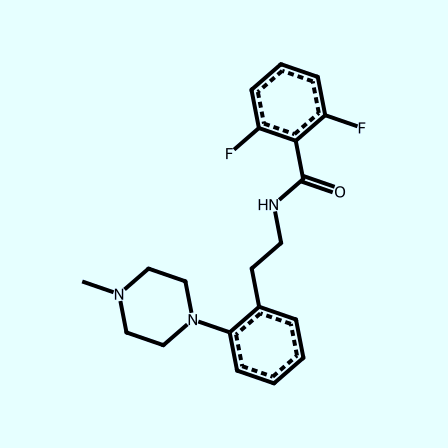 CN1CCN(c2ccccc2CCNC(=O)c2c(F)cccc2F)CC1